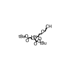 C#CCOCCC(=O)N[C@@H](CCC(=O)OC(C)(C)C)C(=O)OC(C)(C)C